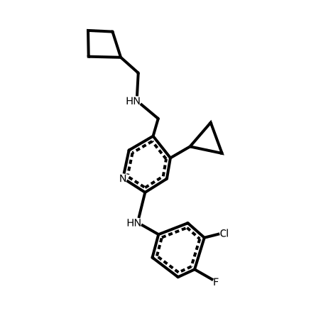 Fc1ccc(Nc2cc(C3CC3)c(CNCC3CCC3)cn2)cc1Cl